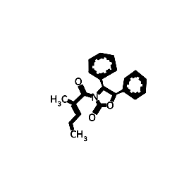 CCC=C(C)C(=O)N1C(=O)O[C@H](c2ccccc2)[C@@H]1c1ccccc1